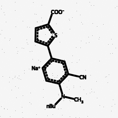 CCCCN(C)c1ccc(-c2ccc(C(=O)[O-])s2)cc1C#N.[Na+]